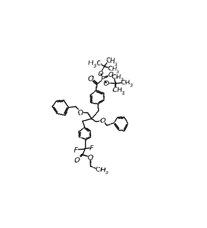 CCOC(=O)C(F)(F)c1ccc(CC(COCc2ccccc2)(COCc2ccccc2)Cc2ccc(C(=O)P(=O)(OC(C)(C)C)OC(C)(C)C)cc2)cc1